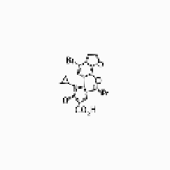 CC(C)[C@@H]1Oc2c(cc(Br)c3ccoc23)-c2c1cc(C(=O)O)c(=O)n2C1CC1